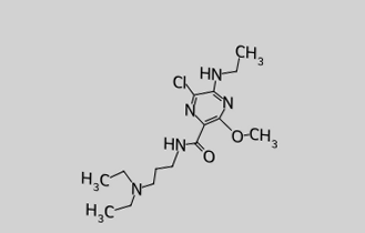 CCNc1nc(OC)c(C(=O)NCCCN(CC)CC)nc1Cl